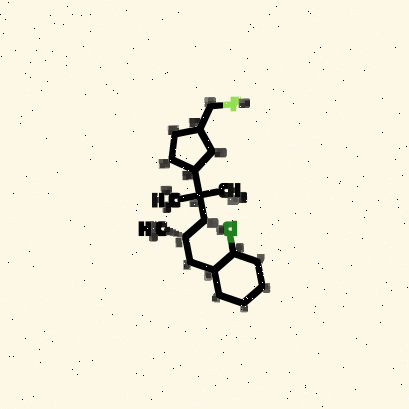 C[C@@H](CC1CCCCC1Cl)CC(C)(C)C1CCC(CF)C1